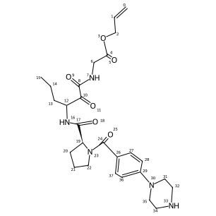 C=CCOC(=O)CNC(=O)C(=O)C(CCC)NC(=O)[C@@H]1CCCN1C(=O)c1ccc(N2CCNCC2)cc1